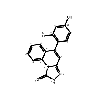 O=c1[nH]nc2cc(-c3ccc(O)cc3O)c3ccccc3n12